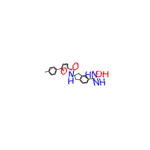 Cc1ccc(-c2ccc(C(=O)NC3Cc4ccc(C(=N)NO)cc4C3)o2)cc1